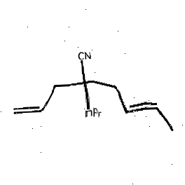 C=CCC(C#N)(CC=CC)CCC